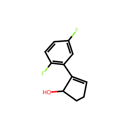 OC1CCC=C1c1cc(F)ccc1F